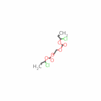 C=CC(Cl)OC(=O)OCCOC(=O)OC(Cl)C=C